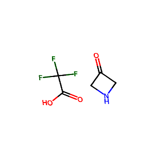 O=C(O)C(F)(F)F.O=C1CNC1